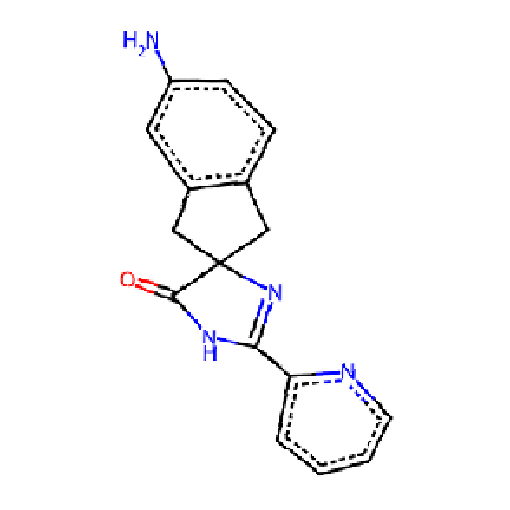 Nc1ccc2c(c1)CC1(C2)N=C(c2ccccn2)NC1=O